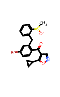 C[S+]([O-])c1ccccc1Cc1cc(Br)ccc1C(=O)c1cnoc1C1CC1